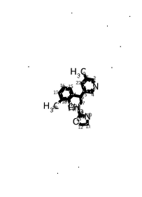 Cc1cncc(C(CNC2=NCCO2)c2cccc(C)c2C)c1